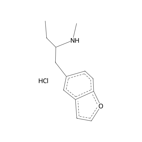 CCC(Cc1ccc2occc2c1)NC.Cl